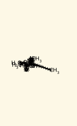 CCCCCCCCCCCCCCCCCC(=O)O[C@@H]1[C@H](O)[C@@H](COP(=O)(N[C@H](C)C(=O)OCC(CC)CC)Oc2ccccc2)O[C@@]1(C#N)c1ccc2c(C)ncnn12